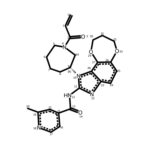 C=CC(=O)N1CCCC[C@@H](n2c(NC(=O)c3ccnc(C)c3)nc3ccc4c(c32)OCCCO4)C1